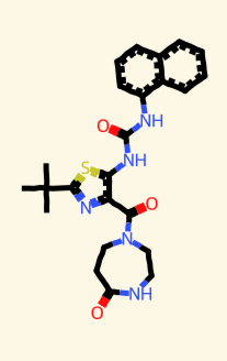 CC(C)(C)c1nc(C(=O)N2CCNC(=O)CC2)c(NC(=O)Nc2cccc3ccccc23)s1